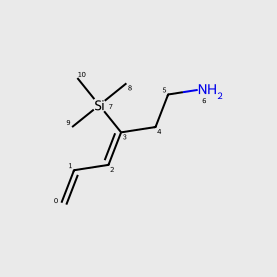 C=CC=C(CCN)[Si](C)(C)C